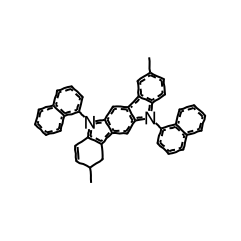 Cc1ccc2c(c1)c1cc3c(cc1n2-c1cccc2ccccc12)c1c(n3-c2cccc3ccccc23)C=CC(C)C1